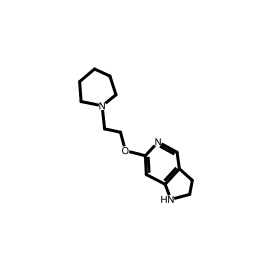 c1nc(OCCN2CCCCC2)cc2c1CCN2